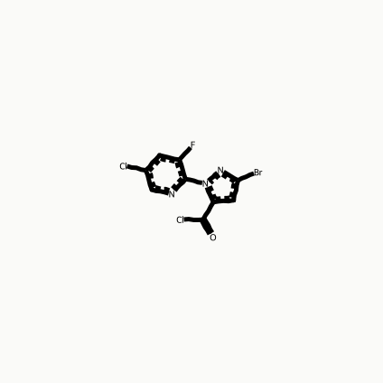 O=C(Cl)c1cc(Br)nn1-c1ncc(Cl)cc1F